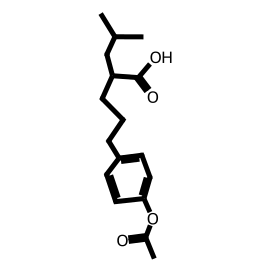 CC(=O)Oc1ccc(CCCC(CC(C)C)C(=O)O)cc1